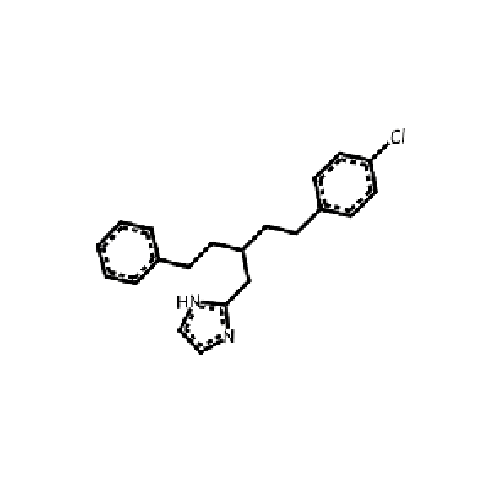 Clc1ccc(CCC(CCc2ccccc2)Cc2ncc[nH]2)cc1